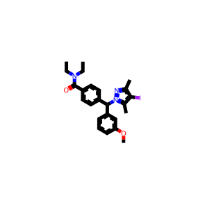 CCN(CC)C(=O)c1ccc(C(c2cccc(OC)c2)n2nc(C)c(I)c2C)cc1